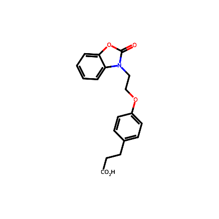 O=C(O)CCc1ccc(OCCn2c(=O)oc3ccccc32)cc1